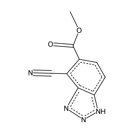 COC(=O)c1ccc2[nH]nnc2c1C#N